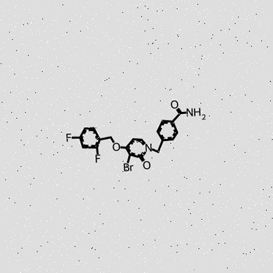 NC(=O)c1ccc(Cn2ccc(OCc3ccc(F)cc3F)c(Br)c2=O)cc1